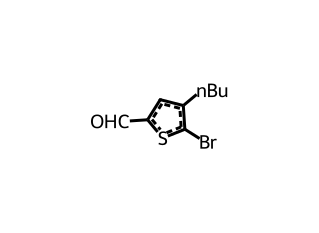 CCCCc1cc(C=O)sc1Br